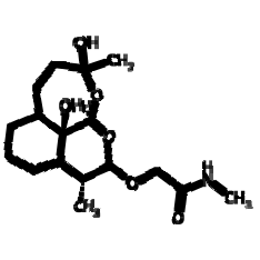 CNC(=O)COC1O[C@@H]2OC(C)(O)CCC3CCCC([C@H]1C)[C@]32O